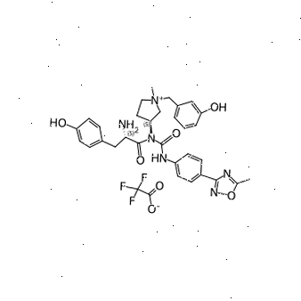 Cc1nc(-c2ccc(NC(=O)N(C(=O)[C@@H](N)Cc3ccc(O)cc3)[C@H]3CC[N+](C)(Cc4cccc(O)c4)C3)cc2)no1.O=C([O-])C(F)(F)F